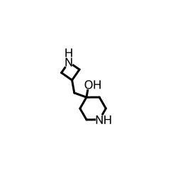 OC1(CC2CNC2)CCNCC1